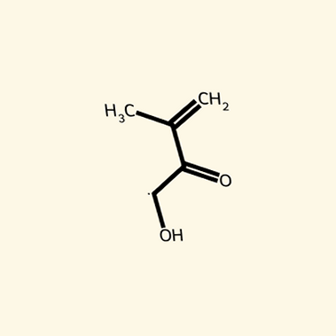 C=C(C)C(=O)[CH]O